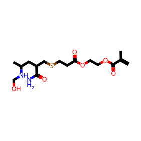 C=C(C)C(=O)OCCOC(=O)CCSCC(CC(C)NCO)C(N)=O